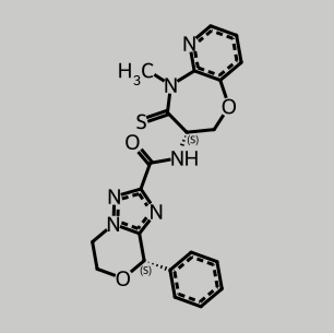 CN1C(=S)[C@@H](NC(=O)c2nc3n(n2)CCO[C@H]3c2ccccc2)COc2cccnc21